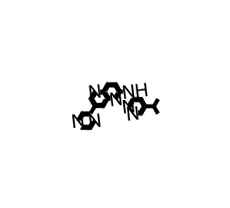 CC(C)c1cnnc(Nc2ccc3ncc(-c4cnccn4)cc3n2)c1